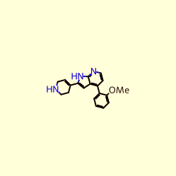 COc1ccccc1-c1ccnc2[nH]c(C3=CCNCC3)cc12